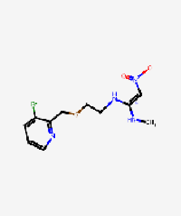 CN/C(=C/[N+](=O)[O-])NCCSCc1ncccc1Br